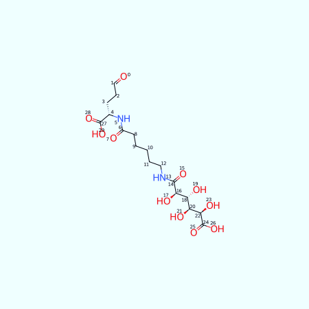 O=CCC[C@H](NC(=O)CCCCCNC(=O)[C@H](O)[C@H](O)[C@H](O)[C@@H](O)C(=O)O)C(=O)O